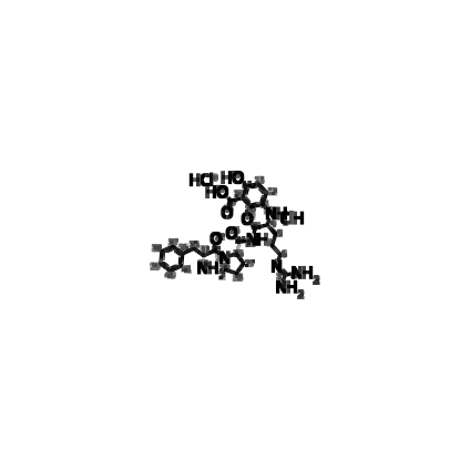 Cl.Cl.NC(N)=NCCC[C@H](Nc1ccc(O)c(C(=O)O)c1)C(=O)NC(=O)[C@@H]1CCCN1C(=O)[C@H](N)Cc1ccccc1